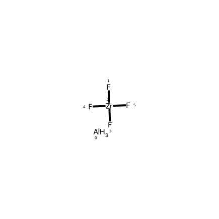 [AlH3].[F][Zr]([F])([F])[F]